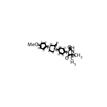 COc1ccc(N2CCN(c3ccc(N4C(=O)NC(C)(C)C4=O)cc3)C(I)C2)cc1